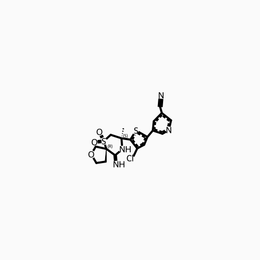 C[C@@]1(c2sc(-c3cncc(C#N)c3)cc2Cl)CS(=O)(=O)[C@]2(CCOC2)C(=N)N1